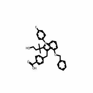 CC(C)(CCO)c1c(Cc2ccc(C(=O)O)cc2)c2c(OCc3ccccc3)cccc2n1-c1ccc(F)cc1